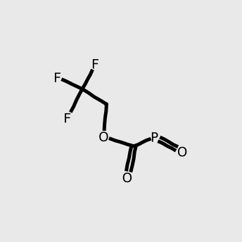 O=PC(=O)OCC(F)(F)F